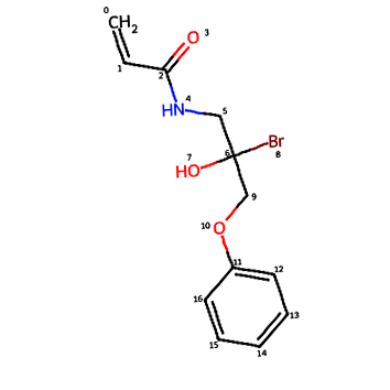 C=CC(=O)NCC(O)(Br)COc1ccccc1